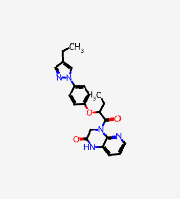 CCc1cnn(-c2ccc(OC(CC)C(=O)N3CC(=O)Nc4cccnc43)cc2)c1